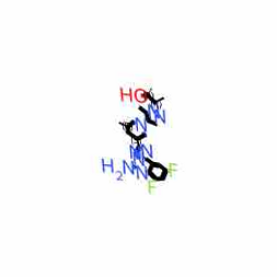 Cc1c(N2C[C@H](C)C[C@H](c3nc4c5cc(F)cc(F)c5nc(N)n4n3)C2)cnn1[C@H](C)[C@@H](C)O